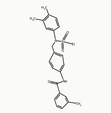 CCS(=O)(=O)N(Cc1ccc(NC(=O)c2cccc(C)c2)cc1)c1ccc(C)c(C)c1